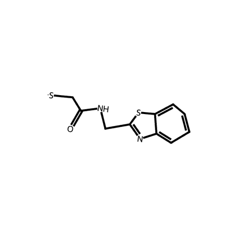 O=C(C[S])NCc1nc2ccccc2s1